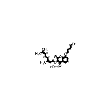 CCC=CCCOc1cccc2c(OCCCCCCCCCC)c(OCC=C(C)CCC=C(C)C)c(=O)oc12